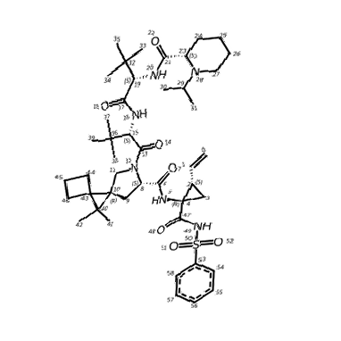 C=C[C@@H]1C[C@]1(NC(=O)[C@@H]1C[C@@]2(CN1C(=O)[C@@H](NC(=O)[C@@H](NC(=O)[C@@H]1CCCCN1C(C)C)C(C)(C)C)C(C)(C)C)C(C)(C)C21CCC1)C(=O)NS(=O)(=O)c1ccccc1